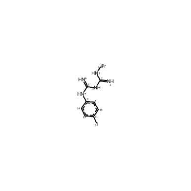 CC(C)NC(=N)NC(=N)Nc1ccc(I)cc1